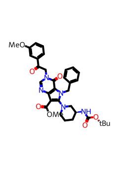 COC(=O)c1c(N2CCC[C@H](NC(=O)OC(C)(C)C)C2)n(Cc2ccccc2)c2c(=O)n(CC(=O)c3cccc(OC)c3)cnc12